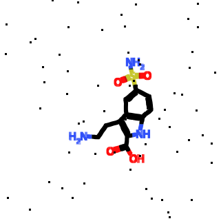 NCCc1c(C(=O)O)[nH]c2ccc(S(N)(=O)=O)cc12